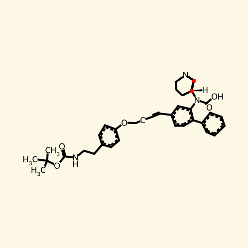 CC(C)(C)OC(=O)NCCc1ccc(OCCC=Cc2ccc(-c3ccccc3)c(N(C(=O)O)[C@H]3CN4CCC3CC4)c2)cc1